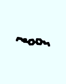 C/C=C\COCC1CCC([C@H]2CC[C@H](/C=C/CC)CC2)CC1